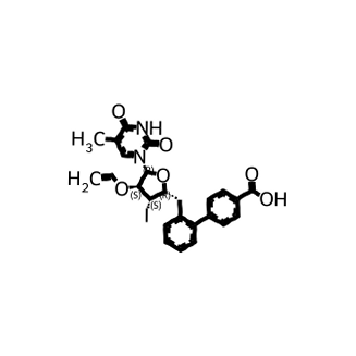 C=CO[C@@H]1[C@@H](I)[C@@H](Cc2ccccc2-c2ccc(C(=O)O)cc2)O[C@H]1n1cc(C)c(=O)[nH]c1=O